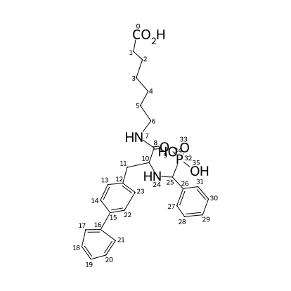 O=C(O)CCCCCCNC(=O)C(Cc1ccc(-c2ccccc2)cc1)NC(c1ccccc1)P(=O)(O)O